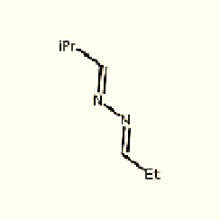 CC/C=N/N=C/C(C)C